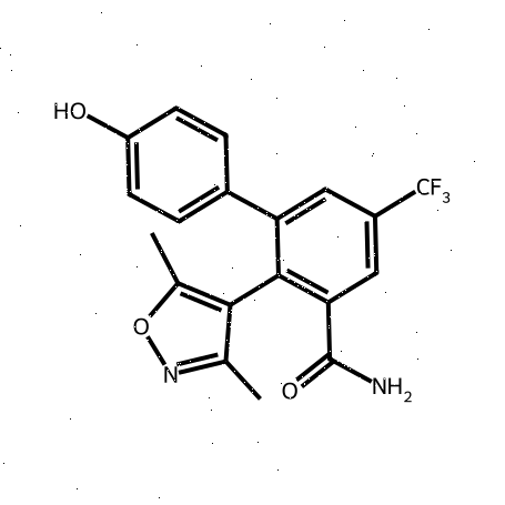 Cc1noc(C)c1-c1c(C(N)=O)cc(C(F)(F)F)cc1-c1ccc(O)cc1